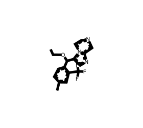 CCOC(c1ccc(C)cc1C(F)(F)F)c1cnc2cnccn12